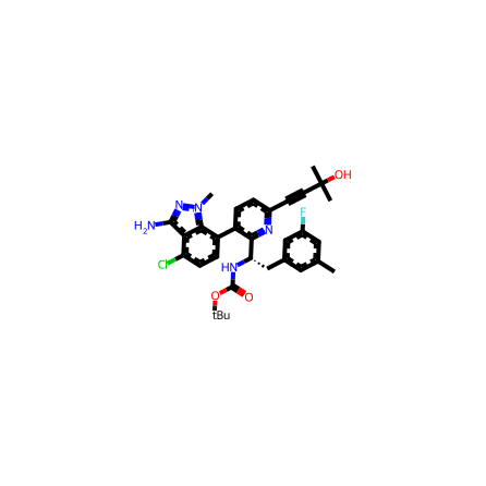 Cc1cc(F)cc(C[C@H](NC(=O)OC(C)(C)C)c2nc(C#CC(C)(C)O)ccc2-c2ccc(Cl)c3c(N)nn(C)c23)c1